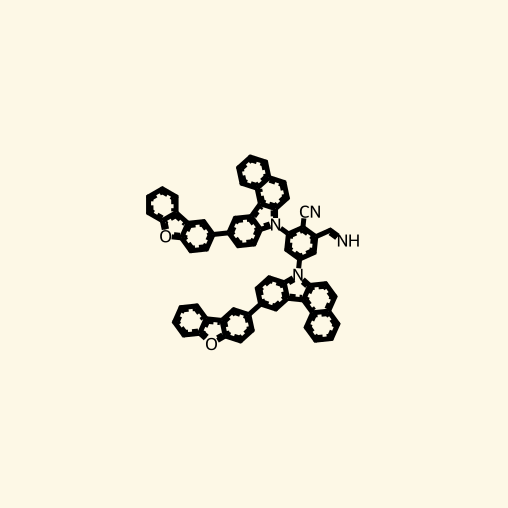 N#Cc1c(C=N)cc(-n2c3ccc(-c4ccc5oc6ccccc6c5c4)cc3c3c4ccccc4ccc32)cc1-n1c2ccc(-c3ccc4oc5ccccc5c4c3)cc2c2c3ccccc3ccc21